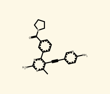 Cc1nc(N)nc(-c2cccc(C(=O)N3CCCC3)c2)c1C#Cc1ccc(N)nc1